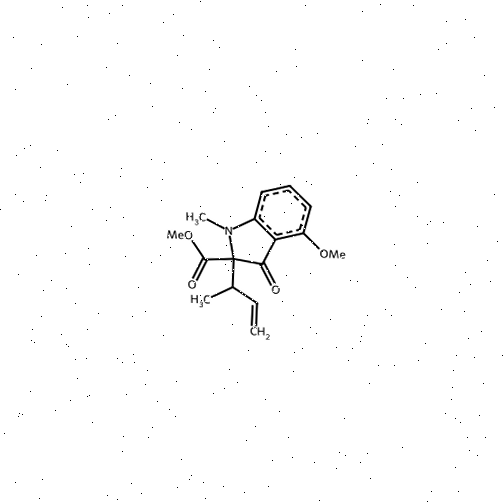 C=CC(C)C1(C(=O)OC)C(=O)c2c(OC)cccc2N1C